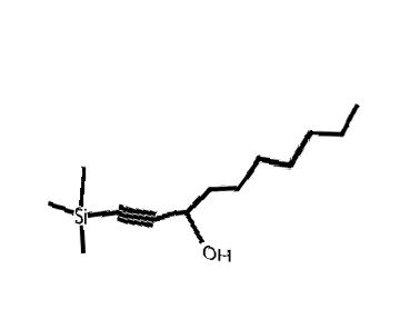 CCCCCCCC(O)C#C[Si](C)(C)C